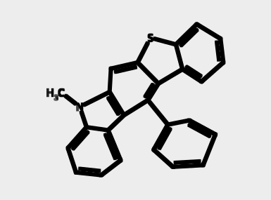 Cn1c2ccccc2c2c(-c3ccccc3)c3c(cc21)sc1ccccc13